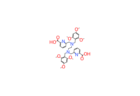 COc1cc(OC)c(CN(CCN(Cc2cccc(C(=O)O)n2)Cc2c(OC)cc(OC)cc2OC)Cc2cccc(C(=O)O)n2)c(OC)c1